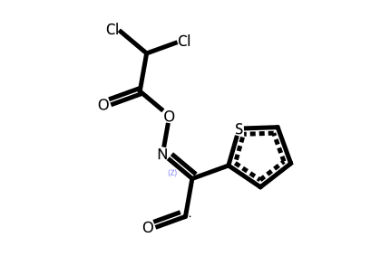 O=[C]/C(=N/OC(=O)C(Cl)Cl)c1cccs1